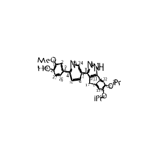 COc1cc(-c2ccc(-c3n[nH]c4c3Cc3cc(OC(C)C)c(OC(C)C)cc3-4)cn2)ccc1O